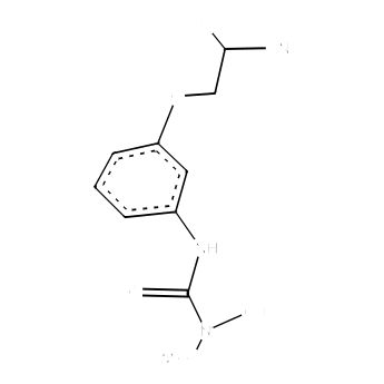 CON(C)C(=O)Nc1cccc(OCC(C)C#N)c1